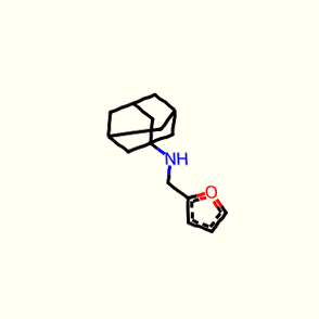 c1coc(CNC23CC4CC(CC(C4)C2)C3)c1